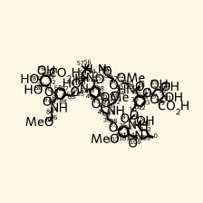 C=C1C[C@H]2C(O)N(C(=O)OCc3ccc(O[C@@H]4O[C@H](C(=O)O)[C@@H](O)[C@H](O)[C@H]4O)c(C(=O)NCCOC)c3)c3cc(OCCC(CCOc4cc5c(cc4OC)C(=O)N4CC(C)(C)C[C@H]4C(O)N5COCc4ccc(O[C@@H]5C[C@H](C(=O)O)[C@@H](O)[C@H](O)[C@H]5O)c(C(=O)NCCOC)c4)NC(=O)COCCOCCON)c(OC)cc3C(=O)N2C1